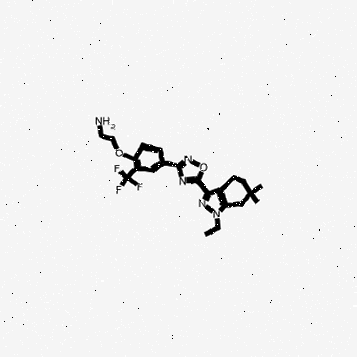 CCn1nc(-c2nc(-c3ccc(OCCN)c(C(F)(F)F)c3)no2)c2c1CC(C)(C)CC2